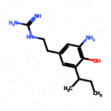 CCC(C)c1cc(CCNC(=N)N)cc(N)c1O